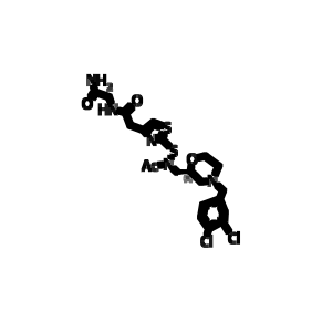 CC(=O)N(C[C@@H]1CN(Cc2ccc(Cl)c(Cl)c2)CCO1)Sc1nc(CC(=O)NCC(N)=O)cs1